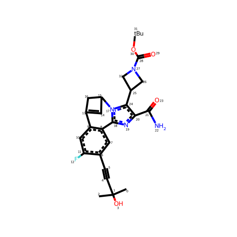 CC(C)(O)C#Cc1cc2c(cc1F)C1=CC(C1)n1c-2nc(C(N)=O)c1C1CN(C(=O)OC(C)(C)C)C1